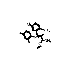 C=COC(N)/C(C)=C(\Nc1ccc(C)cc1C)c1cc(Cl)ccc1N